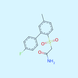 Cc1ccc(S(=O)(=O)CC(N)=O)c(-c2ccc(F)cc2)c1